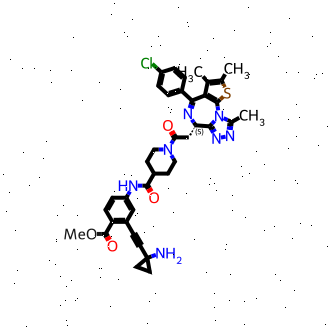 COC(=O)c1ccc(NC(=O)C2CCN(C(=O)C[C@@H]3N=C(c4ccc(Cl)cc4)c4c(sc(C)c4C)-n4c(C)nnc43)CC2)cc1C#CC1(N)CC1